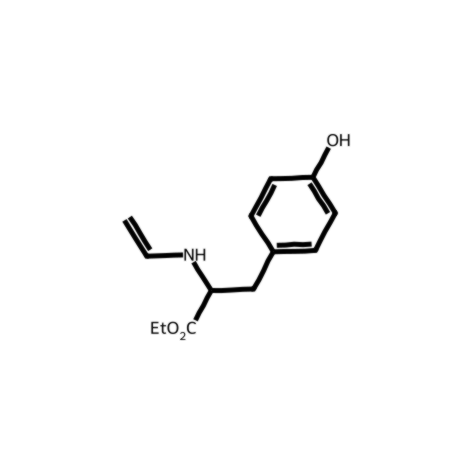 C=CNC(Cc1ccc(O)cc1)C(=O)OCC